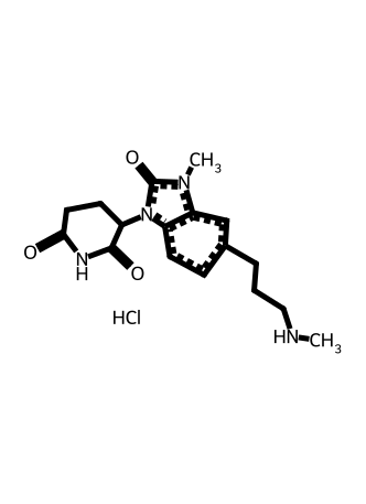 CNCCCc1ccc2c(c1)n(C)c(=O)n2C1CCC(=O)NC1=O.Cl